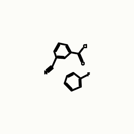 Fc1ccccc1.N#Cc1cccc(C(=O)Cl)c1